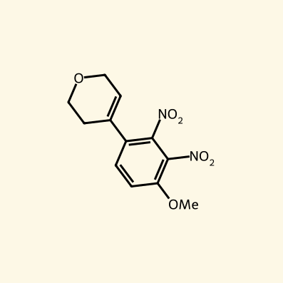 COc1ccc(C2=CCOCC2)c([N+](=O)[O-])c1[N+](=O)[O-]